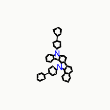 c1ccc(-c2ccc(-n3c4ccccc4c4c3ccc3c5ccc6ccccc6c5n(-c5ccc(-c6ccccc6)cc5)c34)cc2)cc1